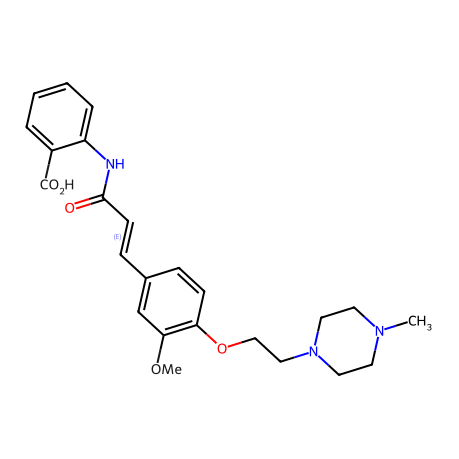 COc1cc(/C=C/C(=O)Nc2ccccc2C(=O)O)ccc1OCCN1CCN(C)CC1